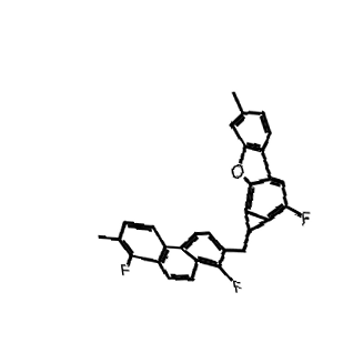 Cc1ccc2c(c1)oc1c3c(c(F)cc12)C3Cc1ccc2c(ccc3c(F)c(C)ccc32)c1F